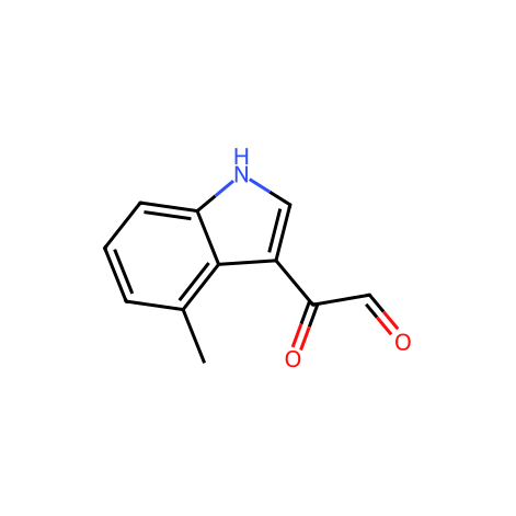 Cc1cccc2[nH]cc(C(=O)C=O)c12